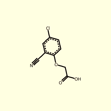 N#Cc1cc(Cl)ccc1OCC(=O)O